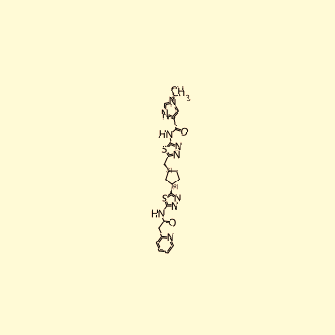 Cn1cnc(C(=O)Nc2nnc(C[C@H]3CC[C@@H](c4nnc(NC(=O)Cc5ccccn5)s4)C3)s2)c1